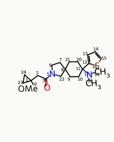 COC1(CC(=O)N2CCC3(CCC(c4cccs4)(N(C)C)CC3)C2)CC1